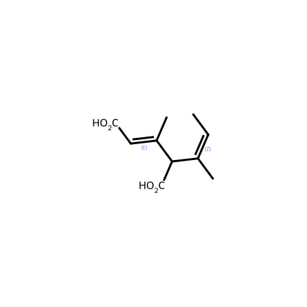 C/C=C(/C)C(C(=O)O)/C(C)=C/C(=O)O